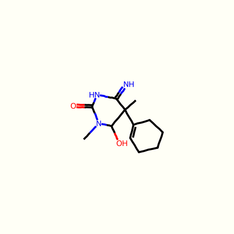 CN1C(=O)NC(=N)C(C)(C2=CCCCC2)C1O